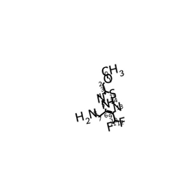 COCc1nn2c(CN)c(C(F)F)nc2s1